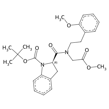 COC(=O)CN(CCc1ccccc1OC)C(=O)[C@H]1Cc2ccccc2N1C(=O)OC(C)(C)C